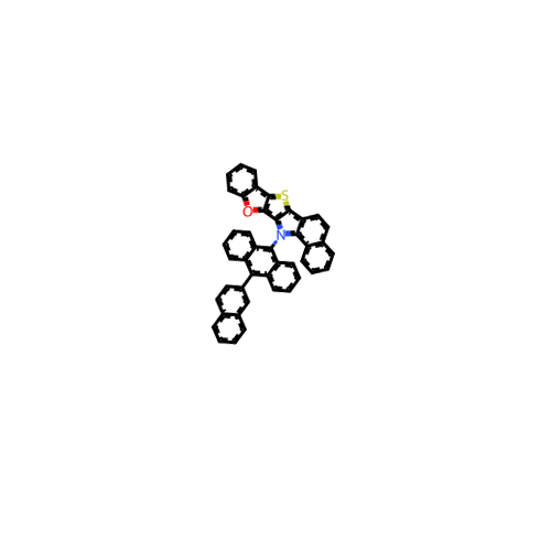 c1ccc2cc(-c3c4ccccc4c(-n4c5c6ccccc6ccc5c5sc6c7ccccc7oc6c54)c4ccccc34)ccc2c1